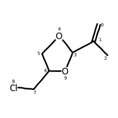 C=C(C)C1OCC(CCl)O1